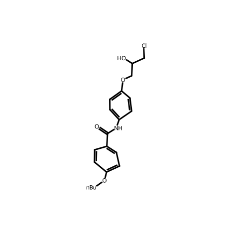 CCCCOc1ccc(C(=O)Nc2ccc(OCC(O)CCl)cc2)cc1